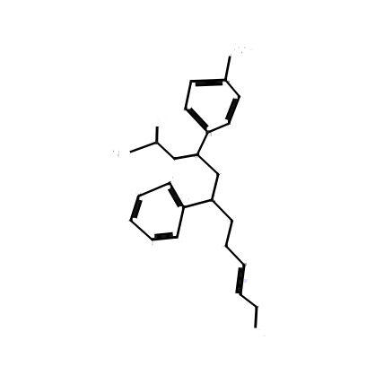 COc1ccc(C(CC(CC/C=C/CC(C)(C)C)c2ccccc2)CC(C#N)C(C)C)cc1